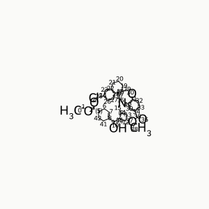 CCOC(=O)[C@@H]1CC=C(C(O)[C@@H]2CC[C@H]2CN2C[C@@]3(CCCc4cc(Cl)ccc43)COc3ccc(C(=O)OC)cc32)CC1